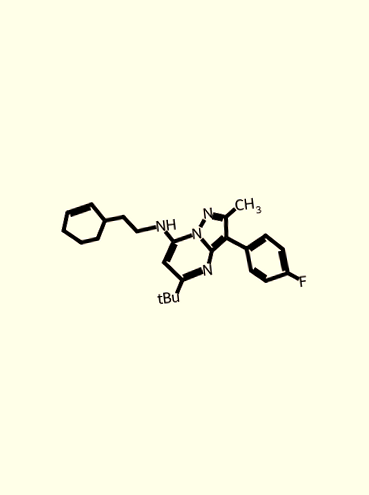 Cc1nn2c(NCCC3C=CCCC3)cc(C(C)(C)C)nc2c1-c1ccc(F)cc1